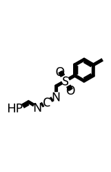 Cc1ccc(S(=O)(=O)CN=C=NC=P)cc1